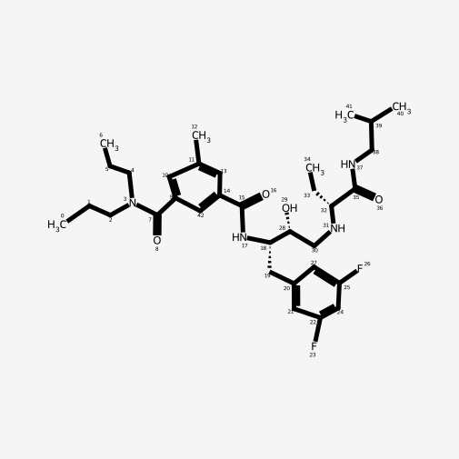 CCCN(CCC)C(=O)c1cc(C)cc(C(=O)N[C@@H](Cc2cc(F)cc(F)c2)[C@H](O)CN[C@H](CC)C(=O)NCC(C)C)c1